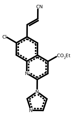 CCOC(=O)c1cc(-n2ccnc2)nc2cc(Cl)c(/C=C/C#N)cc12